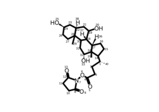 C[C@H](CCC(=O)ON1C(=O)CCC1=O)C1CC[C@H]2[C@H]3C(O)C[C@@H]4C[C@H](O)CCC4(C)C3C[C@@H](O)C12C